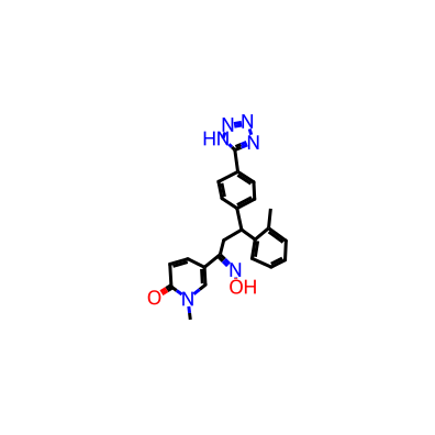 Cc1ccccc1C(C/C(=N/O)c1ccc(=O)n(C)c1)c1ccc(-c2nnn[nH]2)cc1